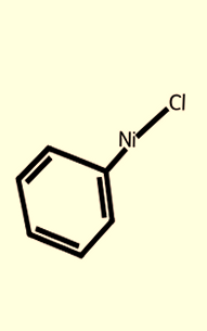 [Cl][Ni][c]1ccccc1